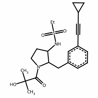 CCS(=O)(=O)NC1CCN(C(=O)C(C)(C)O)C1Cc1cccc(C#CC2CC2)c1